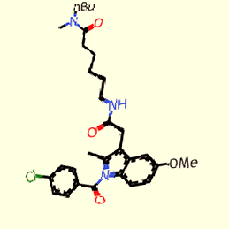 CCCCN(C)C(=O)CCCCCNC(=O)Cc1c(C)n(C(=O)c2ccc(Cl)cc2)c2ccc(OC)cc12